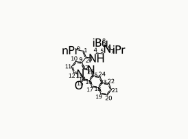 CCC/C=C(/NCCN(C(C)C)C(C)CC)c1cccn2c(=O)c3cc4ccccc4cc3nc12